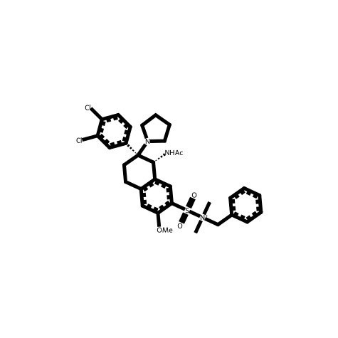 COc1cc2c(cc1S(=O)(=O)[N+](C)(C)Cc1ccccc1)[C@@H](NC(C)=O)[C@](c1ccc(Cl)c(Cl)c1)(N1CCCC1)CC2